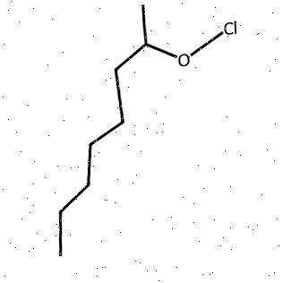 CCCCCCC(C)OCl